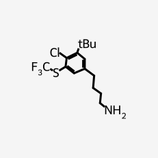 CC(C)(C)c1cc(CCCCN)cc(SC(F)(F)F)c1Cl